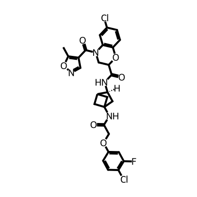 Cc1oncc1C(=O)N1CC(C(=O)N[C@H]2CC3(NC(=O)COc4ccc(Cl)c(F)c4)CC2C3)Oc2ccc(Cl)cc21